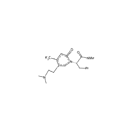 CNC(=O)C(CC(C)C)n1cc(CCN(C)C)c(C(F)(F)F)cc1=O